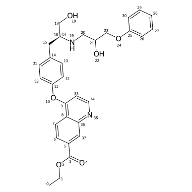 CCOC(=O)c1ccc2c(Oc3ccc(C[C@@H](CO)NCC(O)COc4ccccc4)cc3)ccnc2c1